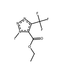 CCOC(=O)c1c(C(F)(F)F)nnn1I